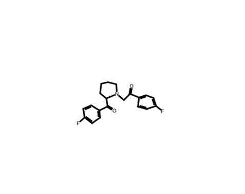 O=C(CN1CCCCC1C(=O)c1ccc(F)cc1)c1ccc(F)cc1